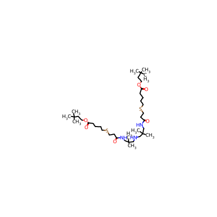 CC(C)(C)CCOC(=O)CCCCSCCC(=O)NCC(C)(C)CNCC(C)(C)CNC(=O)CCSCCCCC(=O)OCCC(C)(C)C